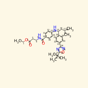 CCOC(=O)CCNC(=O)c1ccc(NC(CC(C)C)c2ccc(-c3noc(C(C)(C)C)n3)cc2)cc1